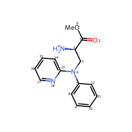 COC(=O)[C@H](N)CN(c1ccccc1)c1ccccn1